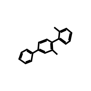 Cc1ccccc1-c1ccc(-c2ccccc2)cc1C